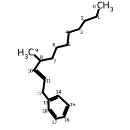 CCCCCCCCC(C)C=CCc1ccccc1